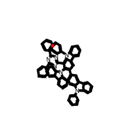 c1ccc(-c2nc(-c3ccccc3)nc(-c3c(-n4c5ccccc5c5ccccc54)c(-c4ccc5c(c4)c4ccccc4n5-c4ccccc4)cc4c5ccccc5n(-c5ccccc5)c34)n2)cc1